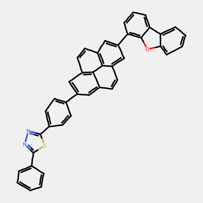 c1ccc(-c2nnc(-c3ccc(-c4cc5ccc6cc(-c7cccc8c7oc7ccccc78)cc7ccc(c4)c5c67)cc3)s2)cc1